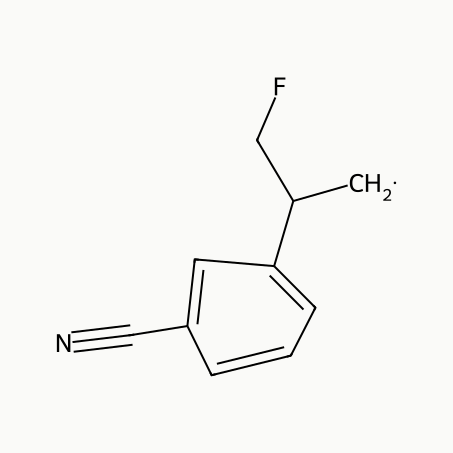 [CH2]C(CF)c1cccc(C#N)c1